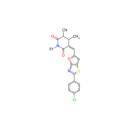 CCN1C(=O)/C(=C\c2cc3sc(-c4ccc(Cl)cc4)nc3o2)C(C)C(C#N)C1=O